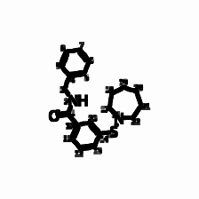 O=C(NCc1ccccc1)c1cccc(SN2CCCCCC2)c1